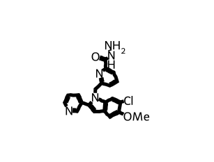 COc1cc2cc(-c3cccnc3)n(Cc3cccc(C(=O)NN)n3)c2cc1Cl